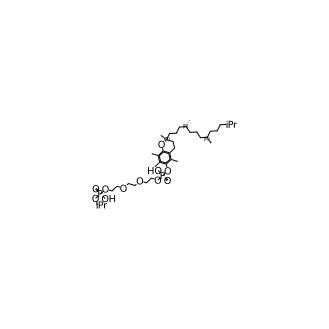 Cc1c(C)c2c(c(C)c1OP(=O)(O)OCCOCCOCCOP(=O)(O)OC(C)C)CC[C@@](C)(CCC[C@H](C)CCC[C@H](C)CCCC(C)C)O2